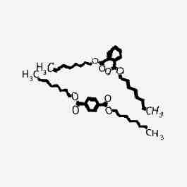 CCCCCCCCOC(=O)c1ccc(C(=O)OCCCCCCCC)cc1.CCCCCCCCOC(=O)c1ccccc1C(=O)OCCCCCCCC